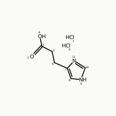 Cl.Cl.O=C(O)CCc1c[nH]cn1